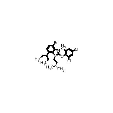 CCC(CC)c1ccc(Br)c2nc(Oc3c(C)cc(Cl)cc3Cl)n(CCN(C)C)c12